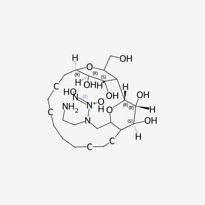 NCCN(CC1O[C@@H]2C3C(CO)O[C@H](CCCCCCCCCCC1[C@H](O)[C@H]2O)[C@H](O)[C@H]3O)/[N+](O)=N/O